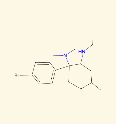 CCNC1CC(C)CCC1(c1ccc(Br)cc1)N(C)C